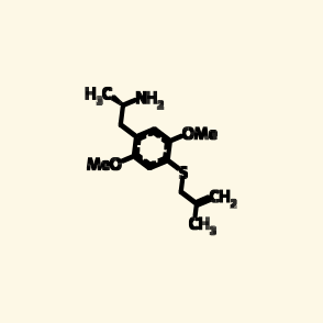 C=C(C)CSc1cc(OC)c(C[C@@H](C)N)cc1OC